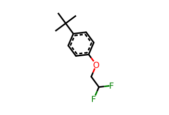 CC(C)(C)c1ccc(OCC(F)F)cc1